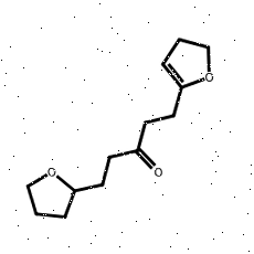 O=C(CCC1=CCCO1)CCC1CCCO1